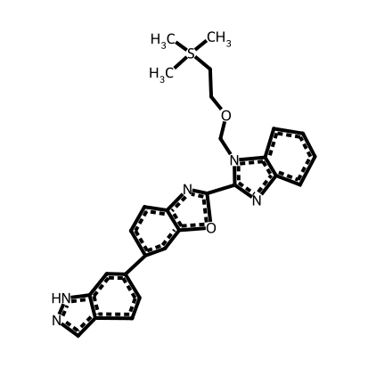 CS(C)(C)CCOCn1c(-c2nc3ccc(-c4ccc5cn[nH]c5c4)cc3o2)nc2ccccc21